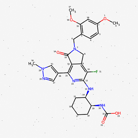 COc1ccc(CN2Cc3c(F)c(N[C@@H]4CCCC[C@@H]4NC(=O)O)nc(-c4cnn(C)c4)c3C2=O)c(OC)c1